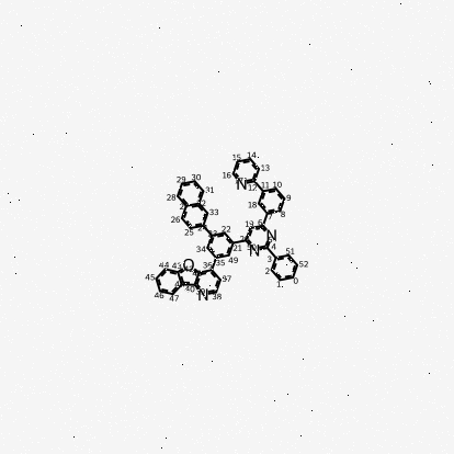 c1ccc(-c2nc(-c3cccc(-c4ccccn4)c3)cc(-c3cc(-c4ccc5ccccc5c4)cc(-c4ccnc5c4oc4ccccc45)c3)n2)cc1